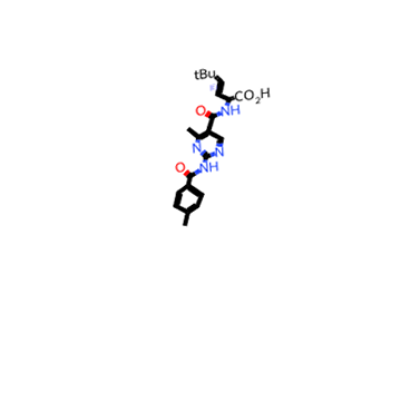 Cc1ccc(C(=O)Nc2ncc(C(=O)NC(/C=C/C(C)(C)C)C(=O)O)c(C)n2)cc1